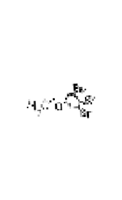 CCOc1cc(Br)c(Br)c(Br)c1